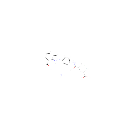 N.NC(=O)c1cc(F)cc2cn(-c3ccc(NC(=O)C(CCl)CC(F)C(=O)O)cc3)nc12